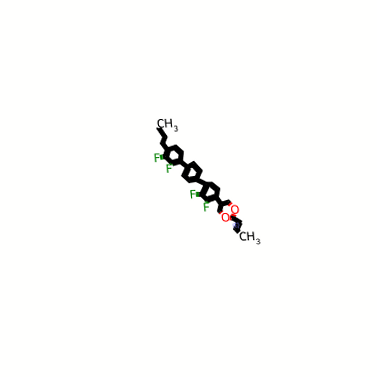 C/C=C/C1OCC(c2ccc(-c3ccc(-c4ccc(CCCC)c(F)c4F)cc3)c(F)c2F)CO1